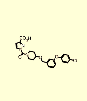 O=C(O)c1ccn(C(=O)N2CCC(OCc3cccc(Oc4ccc(Cl)cc4)c3)CC2)n1